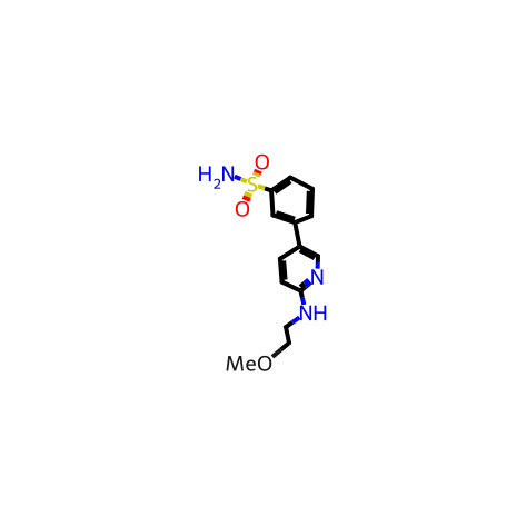 COCCNc1ccc(-c2cccc(S(N)(=O)=O)c2)cn1